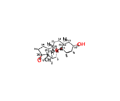 C[C@]12CC[C@]34OC[C@@]35CCC(O)C[C@@H]5CC[C@H]4[C@@H]1CCC2=O